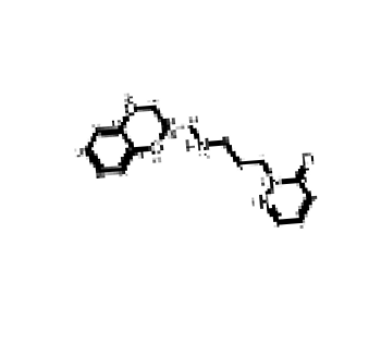 O=c1cccnn1CCCNC[C@H]1COc2ccccc2O1